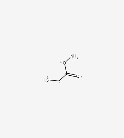 NOC(=O)C[SiH3]